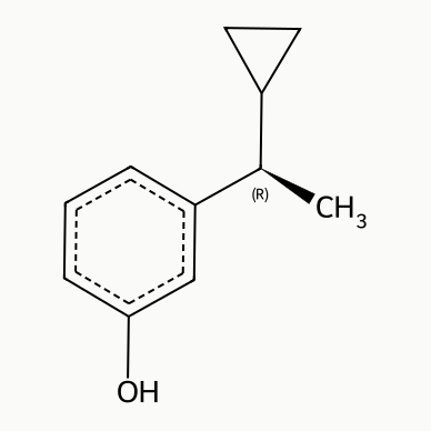 C[C@@H](c1cccc(O)c1)C1CC1